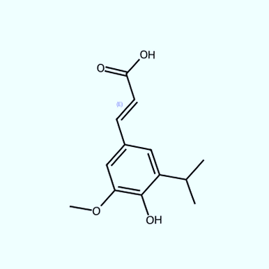 COc1cc(/C=C/C(=O)O)cc(C(C)C)c1O